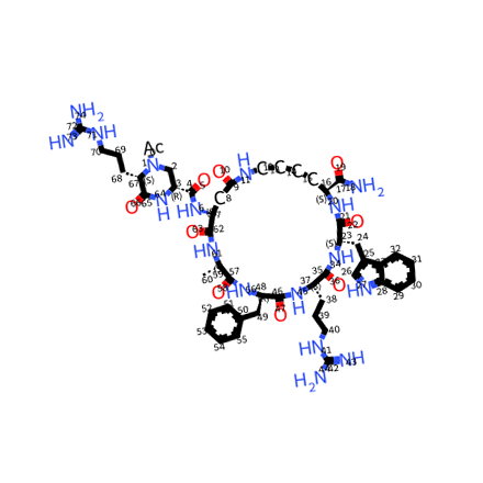 CC(=O)N1C[C@H](C(=O)N[C@H]2CC(=O)NCCCC[C@@H](C(N)=O)NC(=O)[C@H](Cc3c[nH]c4ccccc34)NC(=O)[C@H](CCCNC(=N)N)NC(=O)[C@@H](Cc3ccccc3)NC(=O)[C@H](C)NC2=O)NC(=O)[C@@H]1CCCNC(=N)N